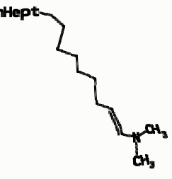 CCCCCCCCCCCCCC=CN(C)C